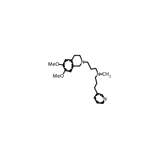 COc1cc2c(cc1OC)CN(CCCN(C)CCCc1cccnc1)CC2